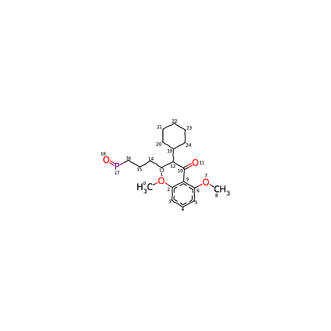 COc1cccc(OC)c1C(=O)C(CCCCP=O)C1CCCCC1